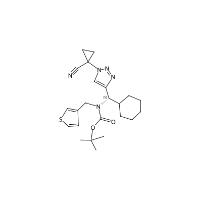 CC(C)(C)OC(=O)N(Cc1ccsc1)[C@H](c1cn(C2(C#N)CC2)nn1)C1CCCCC1